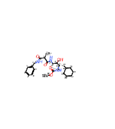 CCCC(C(=O)NCc1ccccc1)C(=O)NCC(O)[C@H](CC1CCCCC1)NC(=O)OC(C)(C)C